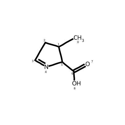 CC1CC=NC1C(=O)O